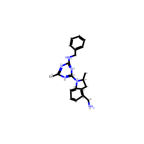 CCc1nc(NCc2ccccc2)nc(N2c3cccc(CN)c3CC2C)n1